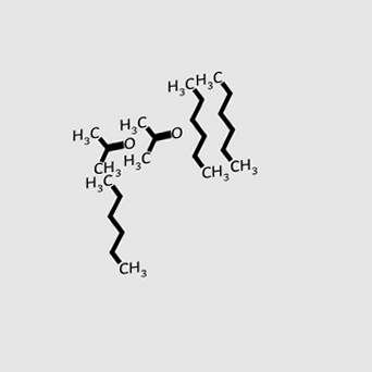 CC(C)=O.CC(C)=O.CCCCCC.CCCCCC.CCCCCC